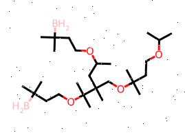 BC(C)(C)CCOC(C)CC(C)(COC(C)(C)CCOC(C)C)C(C)(C)OCCC(B)(C)C